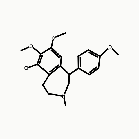 COc1ccc(C2CN(C)CCc3c2cc(OC)c(OC)c3Cl)cc1